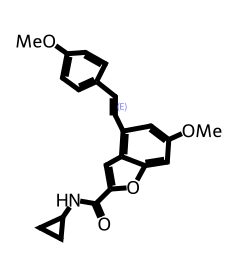 COc1ccc(/C=C/c2cc(OC)cc3oc(C(=O)NC4CC4)cc23)cc1